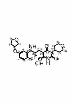 Cl.N[C@@H](c1cc(OC2CCOC2)ccc1F)[C@@H](F)CC1C(=O)NC(=O)N(C2CCOCC2)C1=O